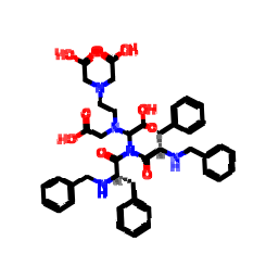 O=C(O)CN(CCN(CC(=O)O)C(C(=O)O)N(C(=O)[C@H](Cc1ccccc1)NCc1ccccc1)C(=O)[C@H](Cc1ccccc1)NCc1ccccc1)CC(=O)O